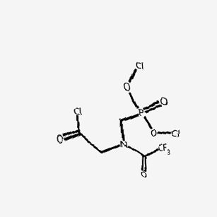 O=C(Cl)CN(CP(=O)(OCl)OCl)C(=O)C(F)(F)F